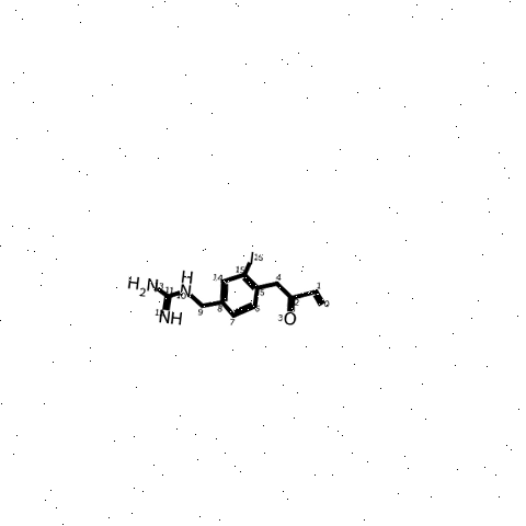 C=CC(=O)Cc1ccc(CNC(=N)N)cc1I